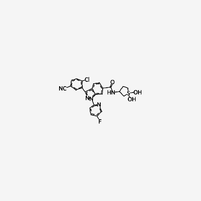 N#Cc1ccc(Cl)c(-c2nn(-c3ccc(F)cn3)c3cc(C(=O)NC4CCS(O)(O)C4)ccc23)c1